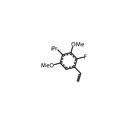 C=Cc1cc(OC)c(C(C)C)c(OC)c1F